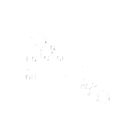 NCCNc1nc(NC[C@H]2CC[C@H](CNS(=O)(=O)c3ccccc3)CC2)nc2ccccc12